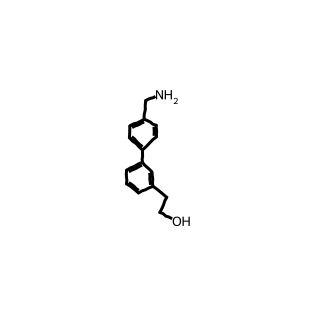 NCc1ccc(-c2cccc(CCO)c2)cc1